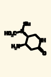 CC(C)(C)N(C(=O)O)[C@H]1CNC(=O)C[C@H]1N